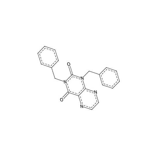 O=c1c2nccnc2n(Cc2ccccc2)c(=O)n1Cc1ccccc1